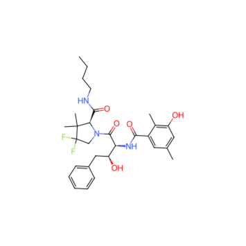 CCCCNC(=O)[C@H]1N(C(=O)[C@@H](NC(=O)c2cc(C)cc(O)c2C)[C@@H](O)Cc2ccccc2)CC(F)(F)C1(C)C